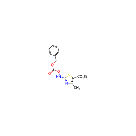 CCOC(=O)c1sc(NOC(=O)OCc2ccccc2)nc1C